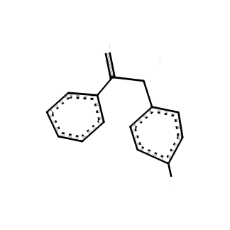 C[C@@H](C(=O)c1ccccc1)c1ccc(Cl)cc1